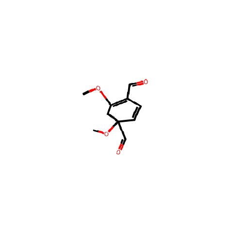 COC1=C(C=O)C=CC(C=O)(OC)C1